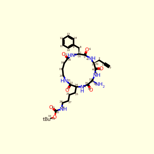 C#CC[C@@H]1NC(=O)[C@H](Cc2ccccc2)NC(=O)CCCNC(=O)C(CCCCNC(=O)OC(C)(C)C)NC(=O)[C@H](N)NC1=O